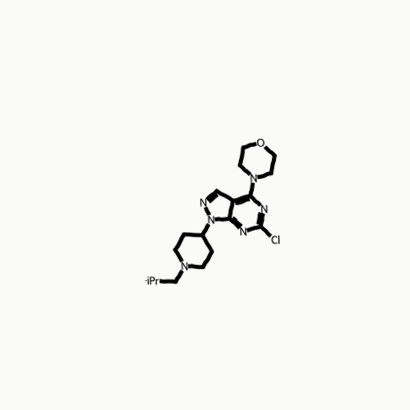 C[C](C)CN1CCC(n2ncc3c(N4CCOCC4)nc(Cl)nc32)CC1